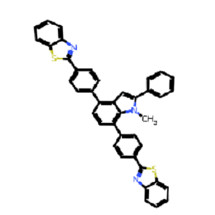 Cn1c(-c2ccccc2)cc2c(-c3ccc(-c4nc5ccccc5s4)cc3)ccc(-c3ccc(-c4nc5ccccc5s4)cc3)c21